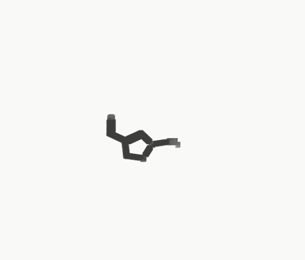 CN1C=C(C=O)CS1